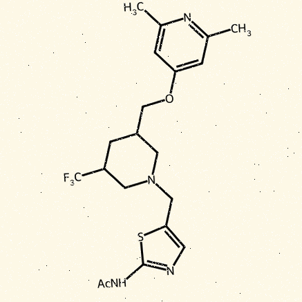 CC(=O)Nc1ncc(CN2CC(COc3cc(C)nc(C)c3)CC(C(F)(F)F)C2)s1